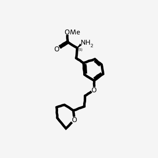 COC(=O)[C@@H](N)Cc1cccc(OCCC2CCCCO2)c1